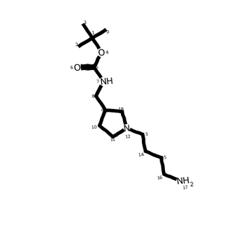 CC(C)(C)OC(=O)NCC1CCN(CCCCN)C1